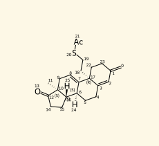 C=C1C=C2CC[C@@H]3C(=CC[C@]4(C)C(=O)CC[C@@H]34)[C@@]2(CCSC(C)=O)CC1